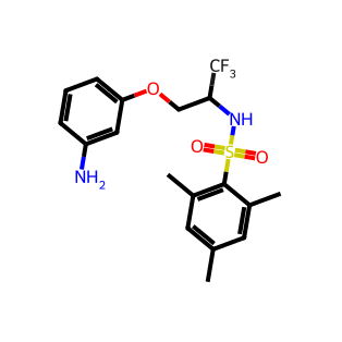 Cc1cc(C)c(S(=O)(=O)NC(COc2cccc(N)c2)C(F)(F)F)c(C)c1